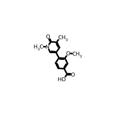 COc1cc(C(=O)O)ccc1-c1cc(C)c(=O)n(C)c1